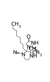 CCCCCCCCC1(N2CC(=O)NC2=S)N(C#N)CCNC1(C)C